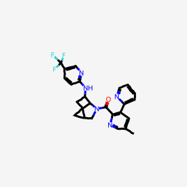 Cc1cnc(C(=O)N2CC3CC34CC(Nc3ccc(C(F)(F)F)cn3)C24)c(-c2ccccn2)c1